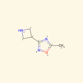 Cc1nc(C2CNC2)no1